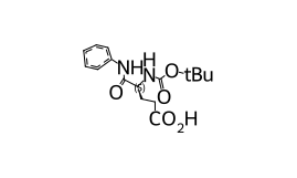 CC(C)(C)OC(=O)N[C@@H](CCC(=O)O)C(=O)Nc1ccccc1